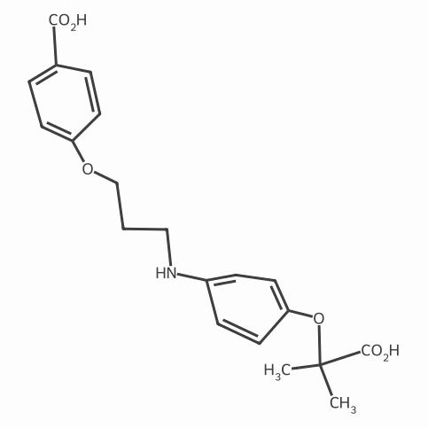 CC(C)(Oc1ccc(NCCCOc2ccc(C(=O)O)cc2)cc1)C(=O)O